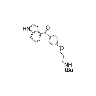 CC(C)(C)NCCCOc1ccc(C(=O)c2cccc3[nH]ccc23)cc1